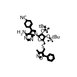 Cc1noc(-c2ccccc2)c1CSC[C@H]1O[C@@H](n2cc(C3=CCC(C#N)CC3)c3c(N)ncnc32)[C@H](O[Si](C)(C)C(C)(C)C)[C@@H]1O[Si](C)(C)C(C)(C)C